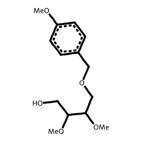 COc1ccc(COCC(OC)C(CO)OC)cc1